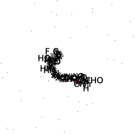 CCCC(C(=O)NC=O)N1C(=O)c2ccc(N3CCC4(CCC(CN5CCC(N/C=C6/C=C(NC(=O)c7cccc(C(F)(F)F)n7)C(C(C)(C)O)=CC6=N)CC5)CC4)CC3)cc2C1=O